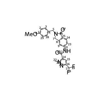 COc1ccc(CN2Cc3cc(NC(=O)c4cc(C(F)F)nn4C)ccc3C2=O)cc1